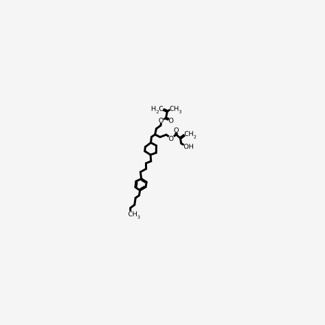 C=C(C)C(=O)OCCC(CCOC(=O)C(=C)CO)CC1CCC(CCCCc2ccc(CCCCC)cc2)CC1